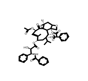 CC(=O)O[C@@H]1/C=C(\C)[C@@H](OC(=O)[C@H](O)[C@@H](NC(=O)c2ccccc2)c2ccccc2)C[C@](O)(C(C)C)[C@@H](OC(=O)c2ccccc2)C2[C@]3(OC(C)=O)COC3C[C@@H]3O[C@]23C1=O